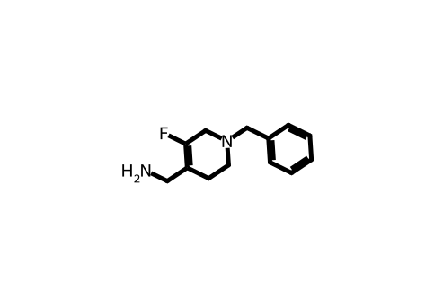 NCC1=C(F)CN(Cc2ccccc2)CC1